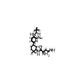 CNc1nc(C2CCC(C)(C)C(NC(=O)/C(N)=C/C=N)C2)ccc1NCC(C)(C)C